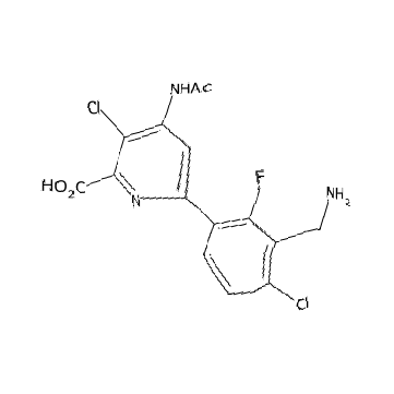 CC(=O)Nc1cc(-c2ccc(Cl)c(CN)c2F)nc(C(=O)O)c1Cl